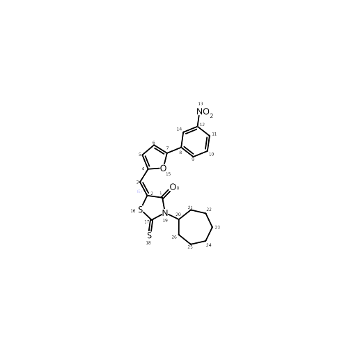 O=C1/C(=C\c2ccc(-c3cccc([N+](=O)[O-])c3)o2)SC(=S)N1C1CCCCCC1